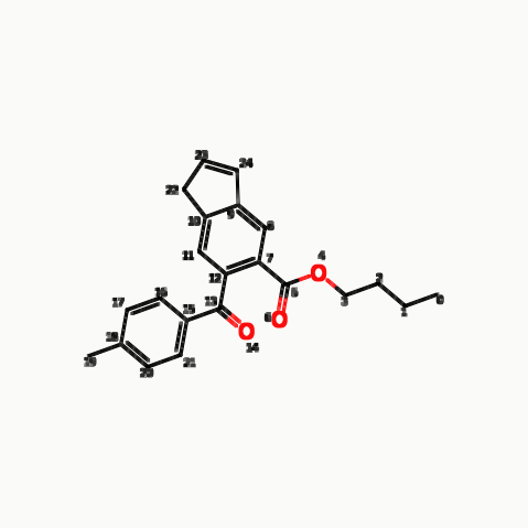 CCCCOC(=O)c1cc2c(cc1C(=O)c1ccc(C)cc1)CC=C2